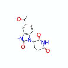 CC(=O)c1ccc2c(c1)n(C)c(=O)n2C1CCC(=O)NC1=O